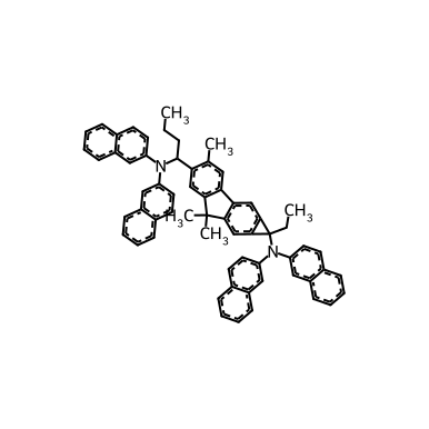 CCCC(c1cc2c(cc1C)-c1cc3c(cc1C2(C)C)C3(CC)N(c1ccc2ccccc2c1)c1ccc2ccccc2c1)N(c1ccc2ccccc2c1)c1ccc2ccccc2c1